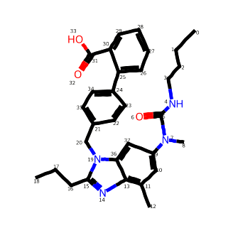 CCCCNC(=O)N(C)c1cc(C)c2nc(CCC)n(Cc3ccc(-c4ccccc4C(=O)O)cc3)c2c1